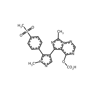 Cc1nc(-c2cnn(C)c2-c2ccc(S(C)(=O)=O)cc2)c2c(OC(=O)O)ncnn12